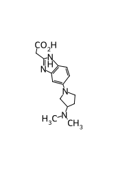 CN(C)C1CCN(c2ccc3[nH]c(CC(=O)O)nc3c2)C1